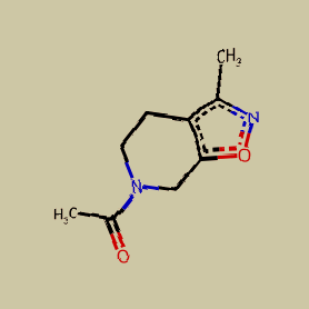 CC(=O)N1CCc2c(C)noc2C1